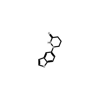 O=C1CCCN(c2ccc3occc3c2)N1